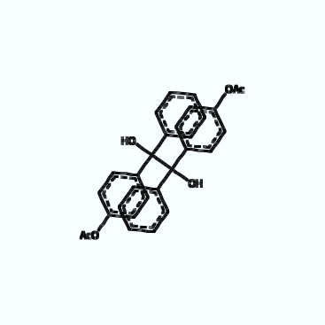 CC(=O)Oc1ccc(C(O)(c2ccccc2)C(O)(c2ccccc2)c2ccc(OC(C)=O)cc2)cc1